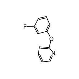 Fc1cccc(Oc2cc[c]cn2)c1